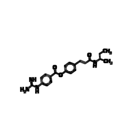 CCC(C)NC(=O)/C=C/c1ccc(OC(=O)c2ccc(NC(=N)N)cc2)cc1